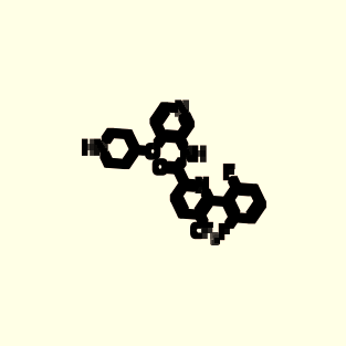 O=C(Nc1cnccc1OC1CCNCC1)c1ccc(C(F)(F)F)c(-c2c(F)cccc2F)n1